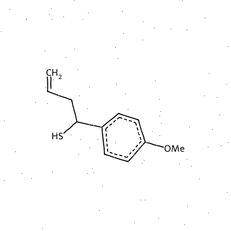 C=CCC(S)c1ccc(OC)cc1